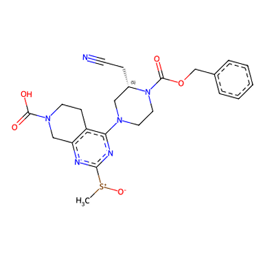 C[S+]([O-])c1nc2c(c(N3CCN(C(=O)OCc4ccccc4)[C@@H](CC#N)C3)n1)CCN(C(=O)O)C2